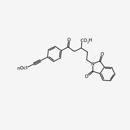 CCCCCCCCC#Cc1ccc(C(=O)CC(CCN2C(=O)c3ccccc3C2=O)C(=O)O)cc1